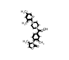 Cc1cnc(N2CCN(C(=O)c3ccc(N4C(=O)OCC4C)c(C)c3)CC2)c(C)c1.Cl